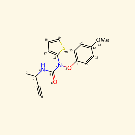 C#CC(C)NC(=O)N(Oc1ccc(OC)cc1)c1cccs1